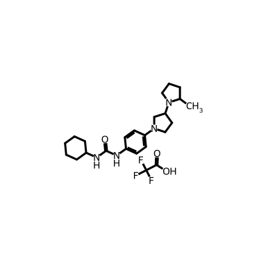 CC1CCCN1C1CCN(c2ccc(NC(=O)NC3CCCCC3)cc2)C1.O=C(O)C(F)(F)F